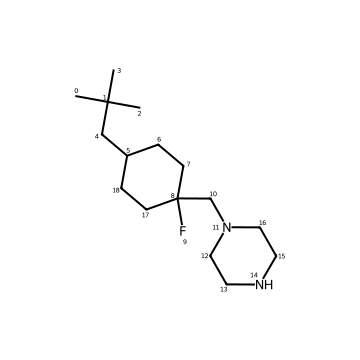 CC(C)(C)CC1CCC(F)(CN2CCNCC2)CC1